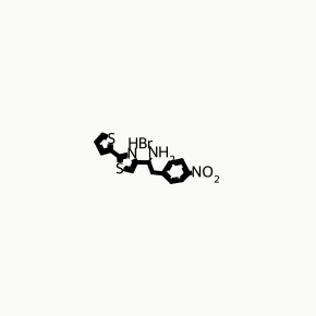 Br.N[C@@H](Cc1ccc([N+](=O)[O-])cc1)c1csc(-c2cccs2)n1